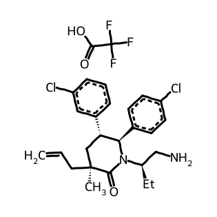 C=CC[C@@]1(C)C[C@H](c2cccc(Cl)c2)[C@@H](c2ccc(Cl)cc2)N([C@H](CC)CN)C1=O.O=C(O)C(F)(F)F